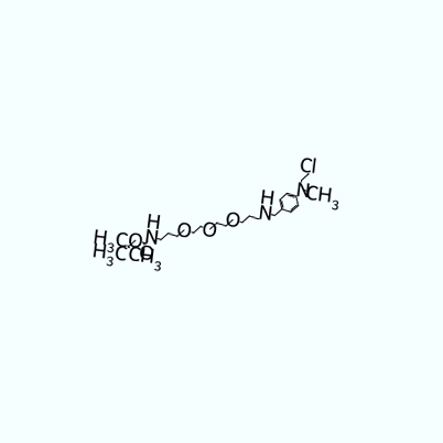 CN(CCCl)c1ccc(CNCCCOCCOCCOCCCNC(=O)OC(C)(C)C)cc1